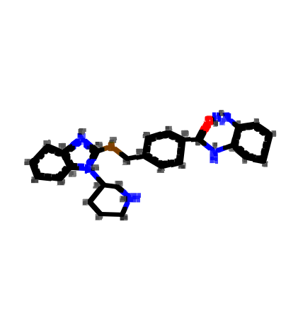 Nc1ccccc1NC(=O)c1ccc(CSc2nc3ccccc3n2C2CCCNC2)cc1